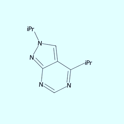 CC(C)c1ncnc2nn(C(C)C)cc12